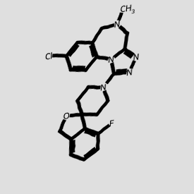 CN1Cc2cc(Cl)ccc2-n2c(nnc2N2CCC3(CC2)OCc2cccc(F)c23)C1